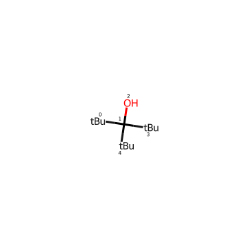 CC(C)(C)C(O)(C(C)(C)C)C(C)(C)C